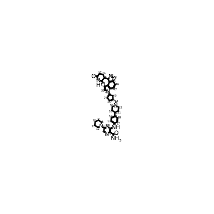 NC(=O)c1ncc(N2CCCCC2)nc1Nc1ccc(C2CCN(C[C@@H]3CC[C@@H](n4ccc5c6c(C7CCC(=O)NC7=O)noc6ccc54)C3)CC2)cc1